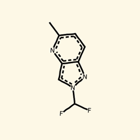 Cc1ccc2nn(C(F)F)cc2n1